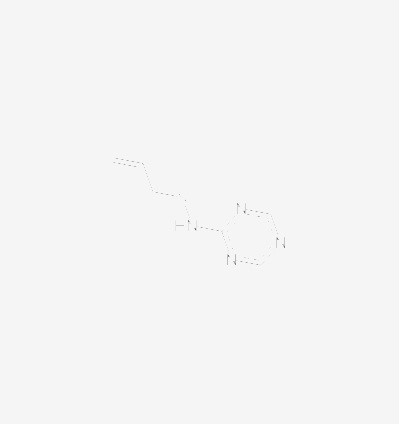 C=CCSNc1ncncn1